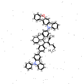 C#C/C(=C\C=C/C)C(c1ccc(-c2ccc3c(c2)c2ccccc2n3-c2ccccc2)cc1)C(c1ccc(-n2c3ccccc3c3cc4oc5ccccc5c4cc32)cc1)C1C=CCCC1C